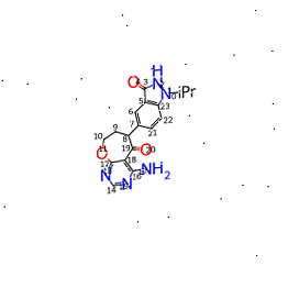 CC(C)n1[nH]c(=O)c2cc(C3CCOc4ncnc(N)c4C3=O)ccc21